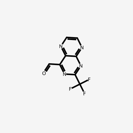 O=Cc1nc(C(F)(F)F)nc2nccnc12